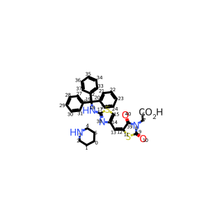 C1CCNCC1.O=C(O)CN1C(=O)SC(=Cc2csc(NC(c3ccccc3)(c3ccccc3)c3ccccc3)n2)C1=O